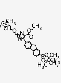 CCOC(=O)c1nn(COCC[Si](C)(C)C)nc1-c1ccc2c(c1)Cc1cc(B3OC(C)(C)C(C)(C)O3)ccc1-2